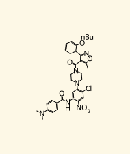 CCCCOC1=CC=CCC1c1noc(C)c1C(=O)N1CCN(c2cc(NC(=O)c3ccc(N(C)C)cc3)c([N+](=O)[O-])cc2Cl)CC1